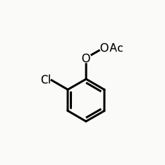 CC(=O)OOc1ccccc1Cl